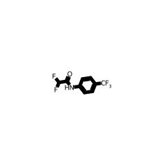 O=C(Nc1ccc(C(F)(F)F)cc1)C(F)F